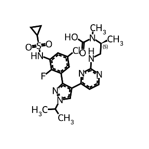 CC(C)n1cc(-c2ccnc(NC[C@H](C)N(C)C(=O)O)n2)c(-c2cc(Cl)cc(NS(=O)(=O)C3CC3)c2F)n1